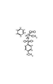 Cc1ccc(S(=O)(=O)[N@]2[C@H](c3ccccc3)C2(C)C=O)cc1